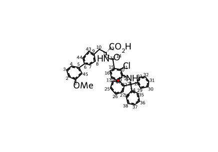 COc1cccc(-c2ccc(C[C@@H](NC(=O)c3cccc(NC(c4ccccc4)(c4ccccc4)c4ccccc4)c3Cl)C(=O)O)cc2)c1